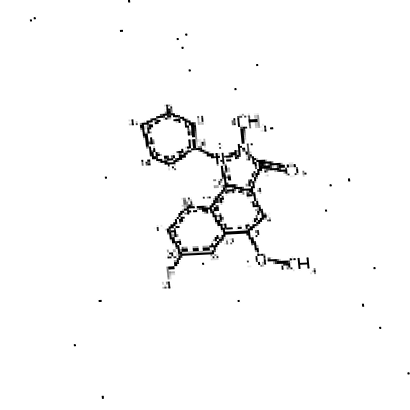 COc1cc2c(=O)n(C)n(-c3ccccc3)c2c2ccc(F)cc12